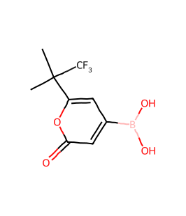 CC(C)(c1cc(B(O)O)cc(=O)o1)C(F)(F)F